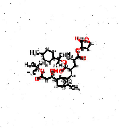 CC1CCC(C(C)(C)OC(=O)C(CC(C)C(=O)OC2CCOC2=O)CC2C(C)C3CC(C(O)CC(=O)OC(C)(C)C)C2C3)CC1